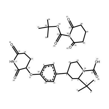 CC(C)(C)C1CC(c2ccc(OC3CCC(=O)NC3=O)cc2)CCN1C(=O)O.CC(C)(C)OC(=O)N1C(=O)CCCC1=O